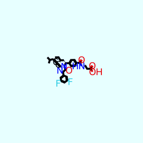 CCCC[C@H](c1ccc(C(=O)NCCC(=O)O)cc1)N1C(=O)C(c2cc(F)cc(F)c2)=NC1=C=C=CC(C)C